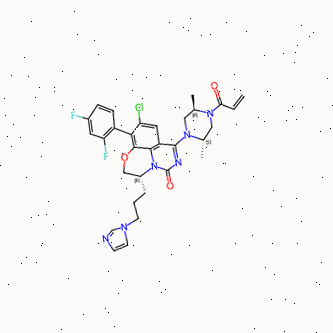 C=CC(=O)N1C[C@H](C)N(c2nc(=O)n3c4c(c(-c5ccc(F)cc5F)c(Cl)cc24)OC[C@H]3CCCn2ccnc2)C[C@H]1C